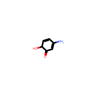 NC1=CC(=O)C(O)C=C1